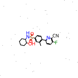 Cc1cc(S(=O)(=O)NC2CCCCC2O)ccc1-c1ccc(F)c(C#N)n1